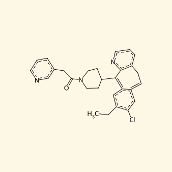 CCc1cc2c(cc1Cl)=CCc1cccnc1C=2C1CCN(C(=O)Cc2cccnc2)CC1